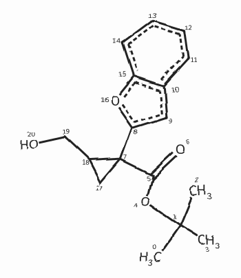 CC(C)(C)OC(=O)C1(c2cc3ccccc3o2)CC1CO